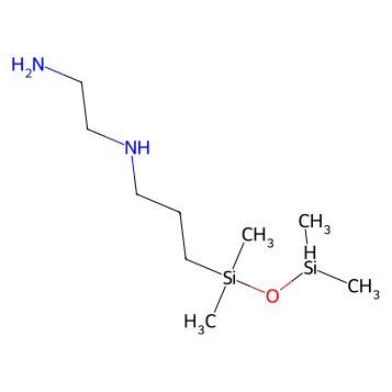 C[SiH](C)O[Si](C)(C)CCCNCCN